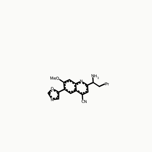 COc1cc2nc(C(N)CC(C)C)cc(C#N)c2cc1-c1cnco1